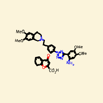 COc1cc(N)c(-c2nnn(-c3ccc(CCN4CCc5cc(OC)c(OC)cc5C4)cc3)n2)cc1OC.O=C(O)c1cc(=O)c2ccccc2o1